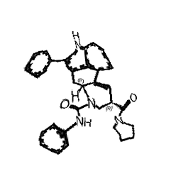 O=C([C@@H]1C=C2c3cccc4[nH]c(-c5ccccc5)c(c34)C[C@H]2N(C(=O)Nc2ccccc2)C1)N1CCCC1